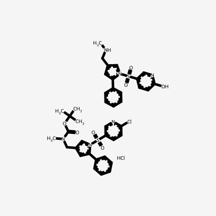 CN(Cc1cc(-c2ccccc2)n(S(=O)(=O)c2ccc(Cl)nc2)c1)C(=O)OC(C)(C)C.CNCc1cc(-c2ccccc2)n(S(=O)(=O)c2ccc(O)nc2)c1.Cl